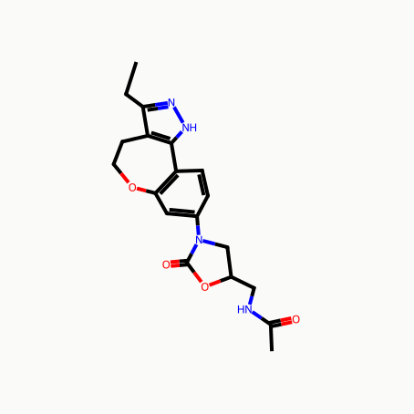 CCc1n[nH]c2c1CCOc1cc(N3CC(CNC(C)=O)OC3=O)ccc1-2